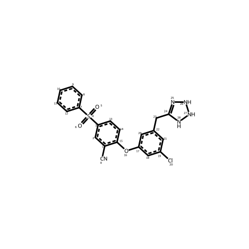 N#Cc1cc(S(=O)(=O)c2ccccc2)ccc1Oc1cc(Cl)cc(CC2=NNNN2)c1